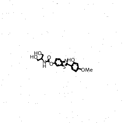 COc1ccc(-c2nc3ccc(OC(=O)NC(CO)CO)cc3s2)c(O)c1